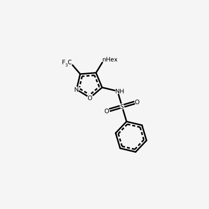 CCCCCCc1c(C(F)(F)F)noc1NS(=O)(=O)c1ccccc1